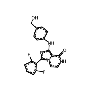 O=c1[nH]ccn2c(-c3c(F)cccc3F)nc(Nc3ccc(CO)cc3)c12